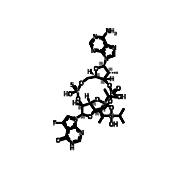 CC(C)[Si](O)(O[Si](O[C@H]1[C@H]2OP(O)(=S)OC[C@H]3O[C@@H](n4cnc5c(N)ncnc54)[C@H](C)[C@@H]3OP(=O)(O)OC[C@H]1O[C@H]2n1cc(F)c2c(=O)[nH]cnc21)(C(C)C)C(C)C)C(C)C